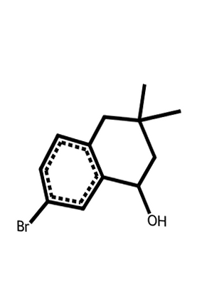 CC1(C)Cc2ccc(Br)cc2C(O)C1